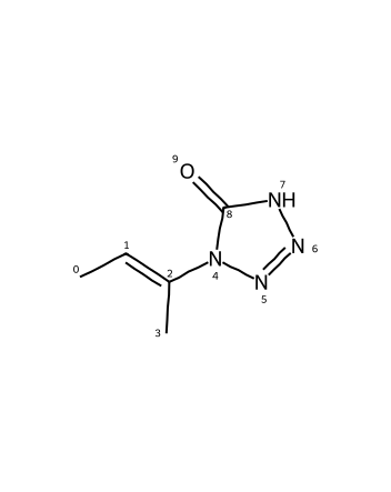 CC=C(C)n1nn[nH]c1=O